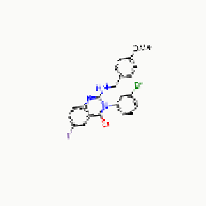 COc1ccc(CNc2nc3ccc(I)cc3c(=O)n2-c2cccc(Br)c2)cc1